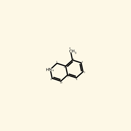 Cc1cccc2c1CNC=C2